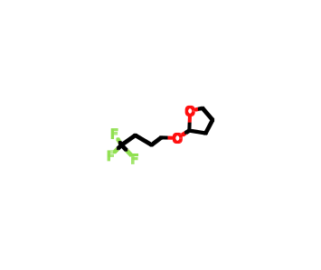 FC(F)(F)CCCOC1CCCO1